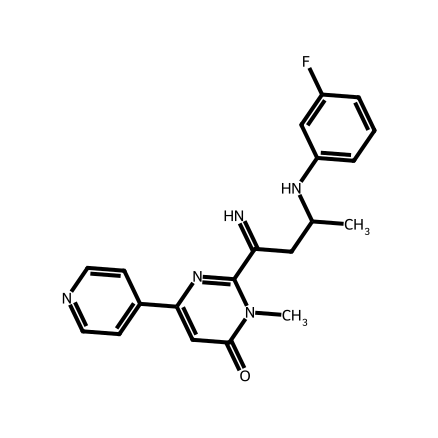 CC(CC(=N)c1nc(-c2ccncc2)cc(=O)n1C)Nc1cccc(F)c1